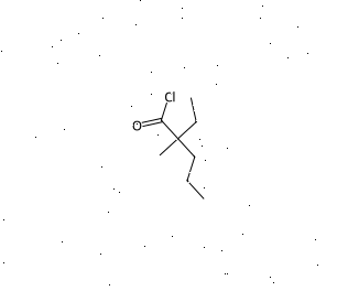 CCCC(C)(CC)C(=O)Cl